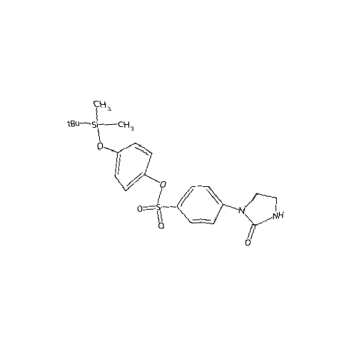 CC(C)(C)[Si](C)(C)Oc1ccc(OS(=O)(=O)c2ccc(N3CCNC3=O)cc2)cc1